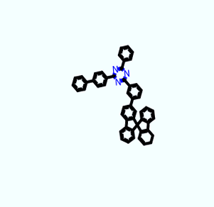 C1=CC2=C(CC1)c1ccccc1C21c2ccccc2-c2ccc(-c3cccc(-c4nc(-c5ccccc5)nc(-c5ccc(-c6ccccc6)cc5)n4)c3)cc21